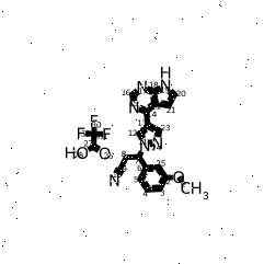 COc1cccc(C(CC#N)n2cc(-c3ncnc4[nH]ccc34)cn2)c1.O=C(O)C(F)(F)F